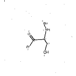 CCC(C)NC(CO)C(=O)C(C)C